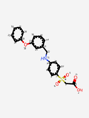 O=C(O)CS(=O)(=O)c1ccc(NCc2cccc(Oc3ccccc3)c2)cc1